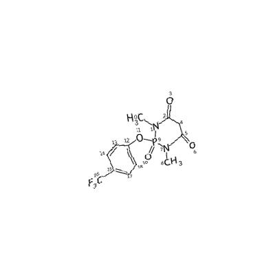 CN1C(=O)CC(=O)N(C)P1(=O)Oc1ccc(C(F)(F)F)cc1